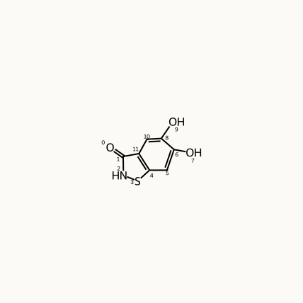 O=c1[nH]sc2cc(O)c(O)cc12